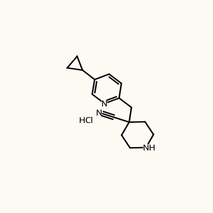 Cl.N#CC1(Cc2ccc(C3CC3)cn2)CCNCC1